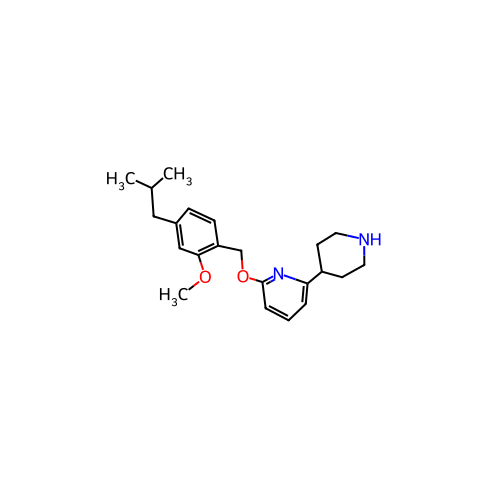 COc1cc(CC(C)C)ccc1COc1cccc(C2CCNCC2)n1